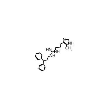 Cc1[nH]cnc1CCCNC(=N)NCCC(c1ccccc1)c1ccccc1